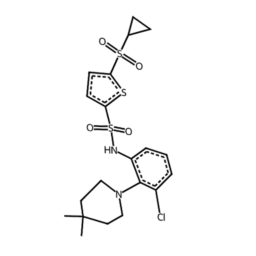 CC1(C)CCN(c2c(Cl)cccc2NS(=O)(=O)c2ccc(S(=O)(=O)C3CC3)s2)CC1